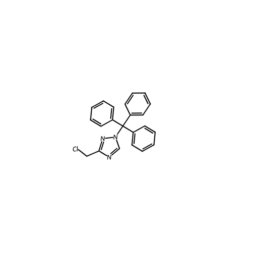 ClCc1ncn(C(c2ccccc2)(c2ccccc2)c2ccccc2)n1